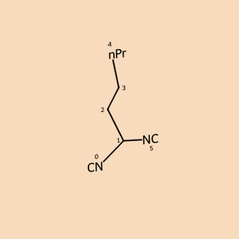 [C-]#[N+]C(CCCCC)[N+]#[C-]